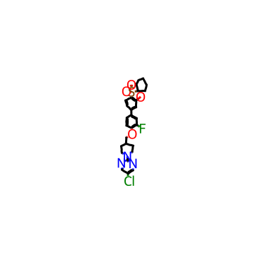 O=S1(=O)c2ccc(-c3ccc(OCC4CCN(c5ncc(Cl)cn5)CC4)c(F)c3)cc2OC12CCCCC2